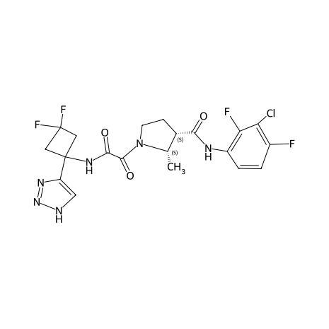 C[C@H]1[C@@H](C(=O)Nc2ccc(F)c(Cl)c2F)CCN1C(=O)C(=O)NC1(c2c[nH]nn2)CC(F)(F)C1